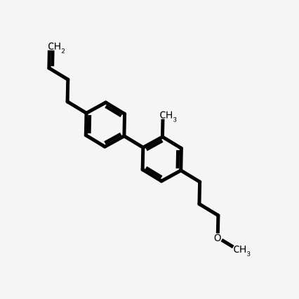 C=CCCc1ccc(-c2ccc(CCCOC)cc2C)cc1